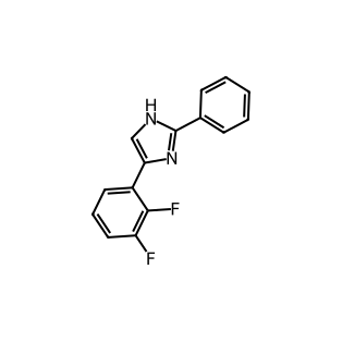 Fc1cccc(-c2c[nH]c(-c3ccccc3)n2)c1F